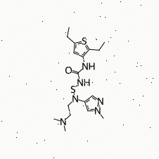 CCc1cc(NC(=O)NSN(CCN(C)C)c2cnn(C)c2)c(CC)s1